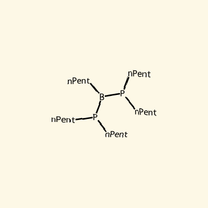 CCCCCB(P(CCCCC)CCCCC)P(CCCCC)CCCCC